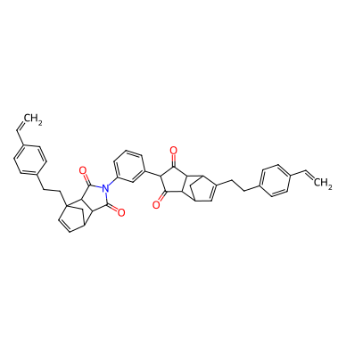 C=Cc1ccc(CCC2=CC3CC2C2C(=O)C(c4cccc(N5C(=O)C6C7C=CC(CCc8ccc(C=C)cc8)(C7)C6C5=O)c4)C(=O)C32)cc1